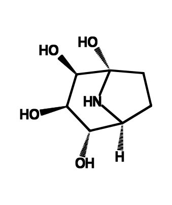 O[C@@H]1[C@@H](O)[C@@H](O)[C@@]2(O)CC[C@@H]1N2